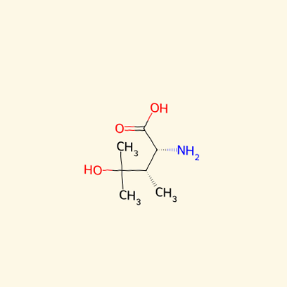 C[C@@H]([C@@H](N)C(=O)O)C(C)(C)O